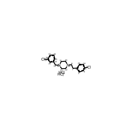 Cl.Cl.Clc1ccc(CCN2CCN(Cc3cccc(Cl)c3)CC2)cc1